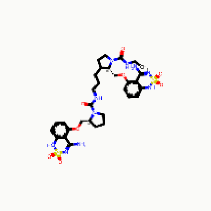 CCNC(=O)N1CCC(CCCNC(=O)N2CCC[C@H]2COc2cccc3c2C(N)=NS(=O)(=O)N3)[C@H]1COc1cccc2c1C(N)=NS(=O)(=O)N2